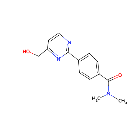 CN(C)C(=O)c1ccc(-c2nccc(CO)n2)cc1